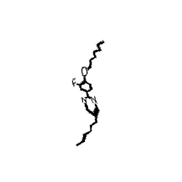 CCCCCCCOc1ccc(-c2ncc(CCCCCC)cn2)cc1F